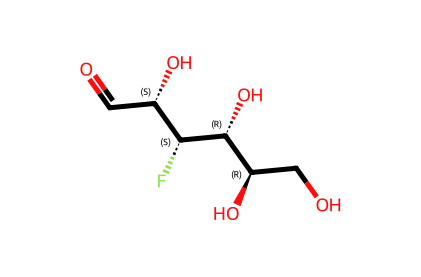 O=C[C@H](O)[C@@H](F)[C@H](O)[C@H](O)CO